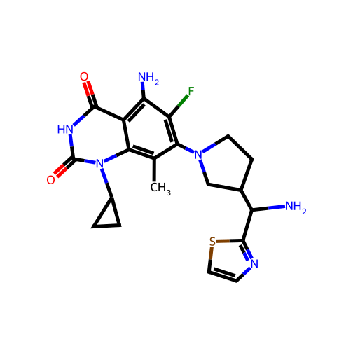 Cc1c(N2CCC(C(N)c3nccs3)C2)c(F)c(N)c2c(=O)[nH]c(=O)n(C3CC3)c12